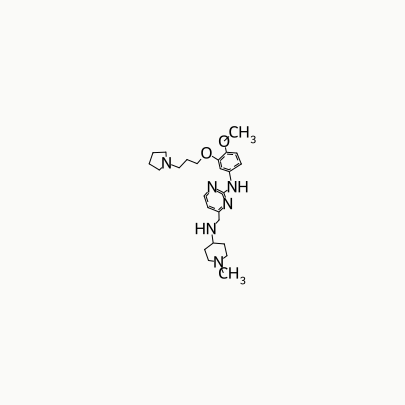 COc1ccc(Nc2nccc(CNC3CCN(C)CC3)n2)cc1OCCCN1CCCC1